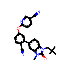 Cn1c(=O)n(CC(C)(C)C)c2ccc(-c3cc(Oc4ccc(C#N)cn4)ccc3C#N)cc21